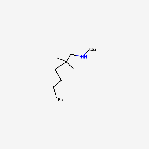 CC(C)(C)CCCC(C)(C)CNC(C)(C)C